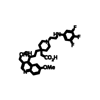 COc1ccc2ncc(CO)c(C(O)CCC3(CC(=O)O)CCN(CCNc4cc(F)c(F)c(F)c4)CC3)c2c1